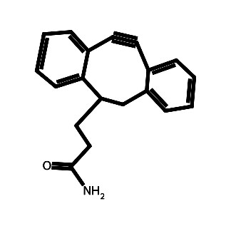 NC(=O)CCC1Cc2ccccc2C#Cc2ccccc21